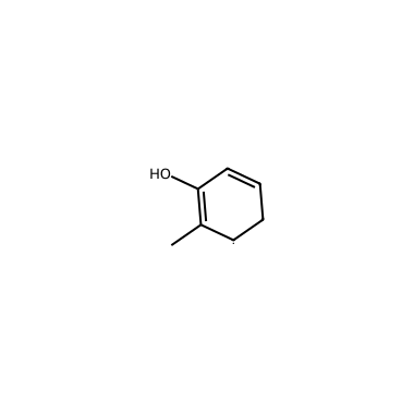 CC1=C(O)C=CC[CH]1